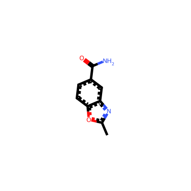 Cc1nc2cc(C(N)=O)ccc2o1